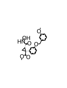 COC(=O)[C@@]1(c2cccc(OCc3cccc(OC)c3)c2)C[C@@H]1C(=O)NO